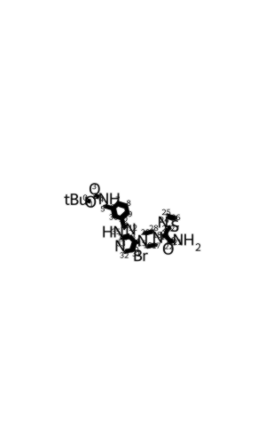 CC(C)(C)OC(=O)NCc1cccc(-c2nc3c(N4CCN(C(C(N)=O)c5nccs5)CC4)c(Br)cnc3[nH]2)c1